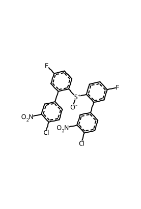 O=[N+]([O-])c1cc(-c2cc(F)ccc2[S+]([O-])c2ccc(F)cc2-c2ccc(Cl)c([N+](=O)[O-])c2)ccc1Cl